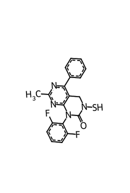 Cc1nc(-c2ccccc2)c2c(n1)N(c1c(F)cccc1F)C(=O)N(S)C2